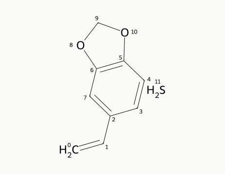 C=Cc1ccc2c(c1)OCO2.S